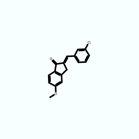 COc1ccc2c(c1)CC(=Cc1cccc(Cl)c1)C2=O